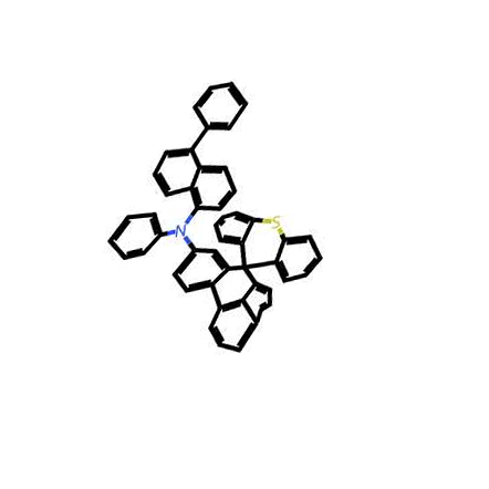 c1ccc(-c2cccc3c(N(c4ccccc4)c4ccc5c(c4)C4(c6ccccc6Sc6ccccc64)c4cccc6cccc-5c46)cccc23)cc1